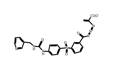 C=C(N=[N+]=NC(=O)c1cccc(S(=O)(=O)c2ccc(NC(=O)NCc3cccnc3)cc2)c1)C(=O)[O-]